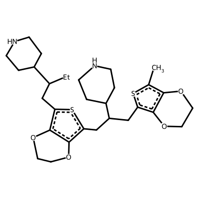 CCC(Cc1sc(CC(Cc2sc(C)c3c2OCCO3)C2CCNCC2)c2c1OCCO2)C1CCNCC1